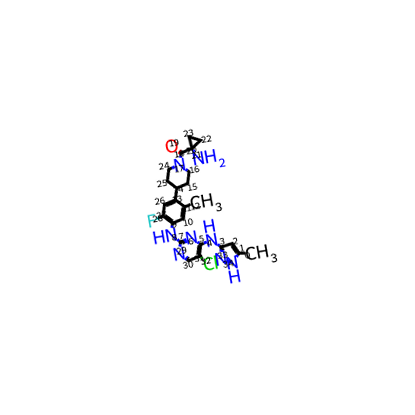 Cc1cc(Nc2nc(Nc3cc(C)c(C4CCN(C(=O)C5(N)CC5)CC4)cc3F)ncc2Cl)n[nH]1